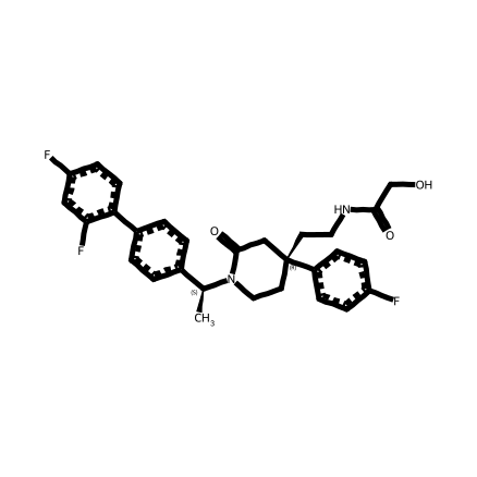 C[C@@H](c1ccc(-c2ccc(F)cc2F)cc1)N1CC[C@@](CCNC(=O)CO)(c2ccc(F)cc2)CC1=O